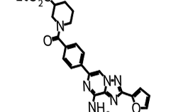 CCOC(=O)C1CCCN(C(=O)c2ccc(-c3cn4nc(-c5ccco5)nc4c(N)n3)cc2)C1